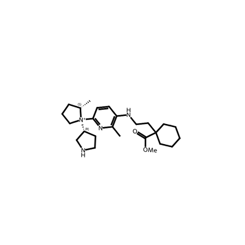 COC(=O)C1(CCNc2ccc([N+]3([C@@H]4CCNC4)CCC[C@@H]3C)nc2C)CCCCC1